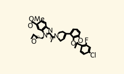 COC(=O)c1ccc2nc([C@H](C)N3CC=C(c4cccc5c4OC(C)(c4ccc(Cl)cc4F)O5)CC3)n(C[C@@H]3CCO3)c2c1